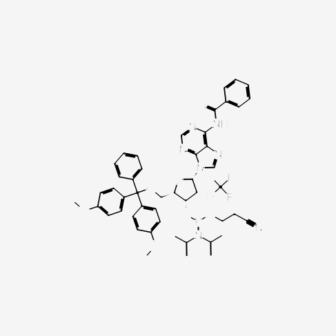 COc1ccc(C(OC[C@H]2O[C@@H](n3cnc4c(NC(=O)c5ccccc5)ncnc43)[C@H](OC(F)(F)F)[C@@H]2OP(OCCC#N)N(C(C)C)C(C)C)(c2ccccc2)c2ccc(OC)cc2)cc1